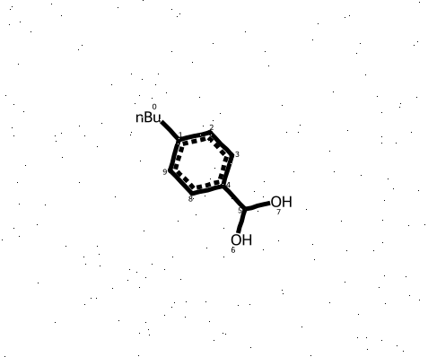 [CH2]CCCc1ccc(C(O)O)cc1